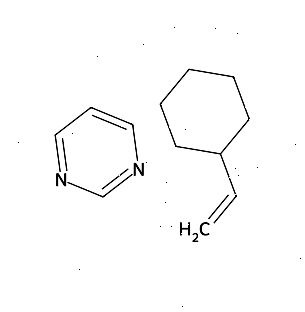 C=CC1CCCCC1.c1cncnc1